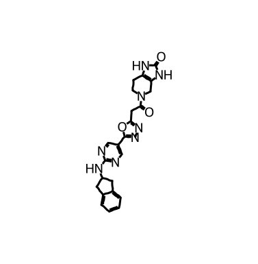 O=C(Cc1nnc(-c2cnc(NC3Cc4ccccc4C3)nc2)o1)N1CCc2[nH]c(=O)[nH]c2C1